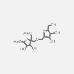 COCC1(COCC2OC(CO)C(O)C2O)OC(OC)C(O)C1O